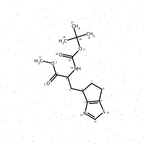 COC(=O)C(CC1CCc2scnc21)NC(=O)OC(C)(C)C